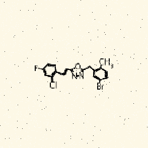 Cc1ccc(Br)cc1Cc1nnc(/C=C/c2ccc(F)cc2Cl)o1